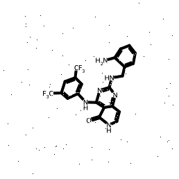 Nc1ccccc1CNc1nc(Nc2cc(C(F)(F)F)cc(C(F)(F)F)c2)c2c(=O)[nH]ccc2n1